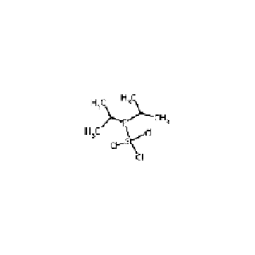 CC(C)P(C(C)C)[Si](Cl)(Cl)Cl